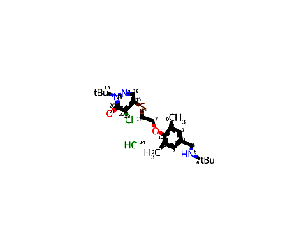 Cc1cc(CNC(C)(C)C)cc(C)c1OCCSc1cnn(C(C)(C)C)c(=O)c1Cl.Cl